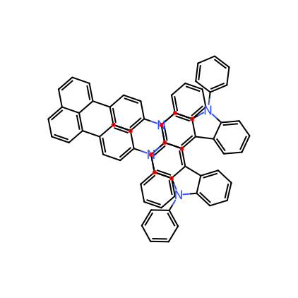 c1ccc(N(c2ccc(-c3cccc4cccc(-c5ccc(N(c6ccccc6)c6ccc7c(c6)c6ccccc6n7-c6ccccc6)cc5)c34)cc2)c2ccc3c(c2)c2ccccc2n3-c2ccccc2)cc1